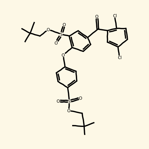 CC(C)(C)COS(=O)(=O)c1ccc(Oc2ccc(C(=O)c3cc(Cl)ccc3Cl)cc2S(=O)(=O)OCC(C)(C)C)cc1